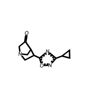 O=C1CN2CC1C(c1nc(C3CC3)no1)C2